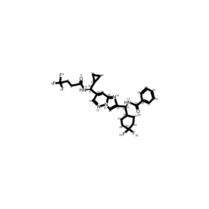 O=C(CCC(F)(F)F)N[C@H](c1cnn2cc([C@@H](NC(=O)c3ccccc3)C3CCC(F)(F)CC3)nc2c1)C1CC1